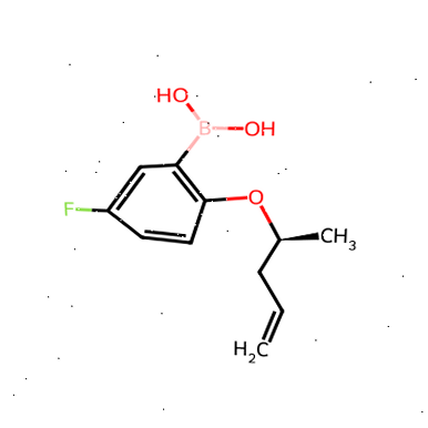 C=CC[C@H](C)Oc1ccc(F)cc1B(O)O